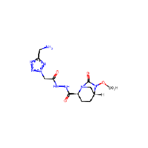 NCc1nnn(CC(=O)NNC(=O)[C@@H]2CC[C@@H]3CN2C(=O)N3OS(=O)(=O)O)n1